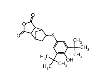 CC(C)(C)c1cc(SC2CC3CC2C2C(=O)OC(=O)C32)cc(C(C)(C)C)c1O